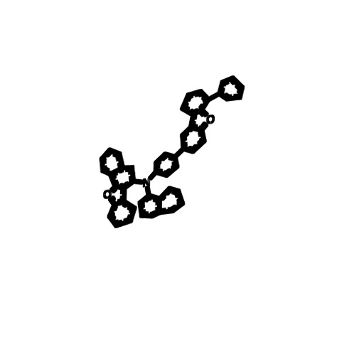 c1ccc(-c2cccc3c2oc2ccc(-c4ccc(N(c5cccc6ccccc56)c5cc6ccccc6c6oc7ccccc7c56)cc4)cc23)cc1